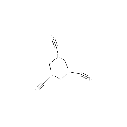 N#CN1CN(C#N)CN(C#N)C1